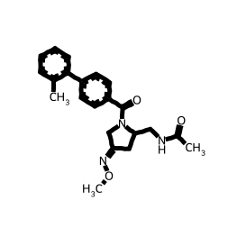 CO/N=C1\CC(CNC(C)=O)N(C(=O)c2ccc(-c3ccccc3C)cc2)C1